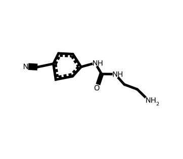 N#Cc1ccc(NC(=O)NCCN)cc1